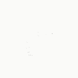 COC(=O)[C@H](C)NC(=O)[C@@H](N)CCCCNC(=O)C(F)(F)[C@@H]1O[C@H](CO)[C@H](O)[C@H](O)[C@H]1O